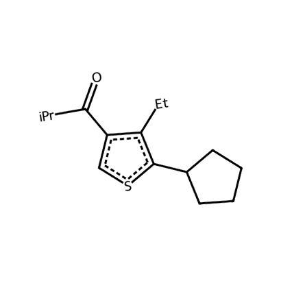 CCc1c(C(=O)C(C)C)csc1C1CCCC1